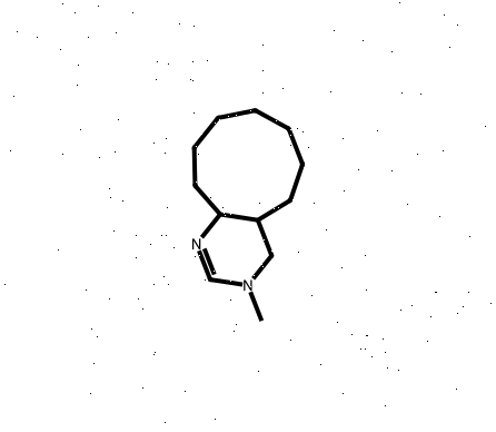 CN1C=NC2CCCCCCCC2C1